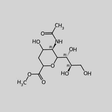 COC(=O)C1CC(O)[C@@H](NC(C)=O)C([C@H](O)[C@H](O)CO)O1